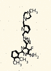 Cc1cccc(-c2nc(N)c(F)c(-c3cn(Cc4cccc(CN5CCN(C)CC5)n4)nn3)n2)c1C